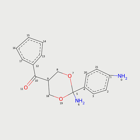 Nc1ccc(C2(N)OCC(C(=O)c3ccccc3)CO2)cc1